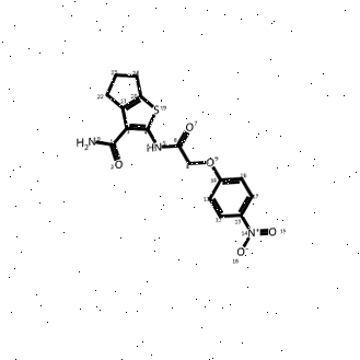 NC(=O)c1c(NC(=O)COc2ccc([N+](=O)[O-])cc2)sc2c1CCC2